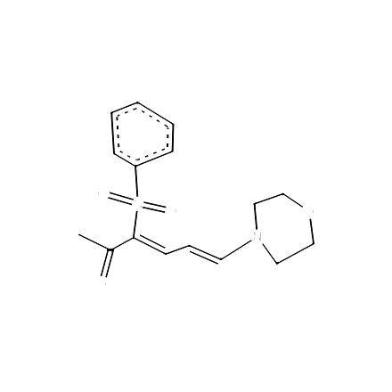 CC(=O)C(=CC=CN1CCOCC1)S(=O)(=O)c1ccccc1